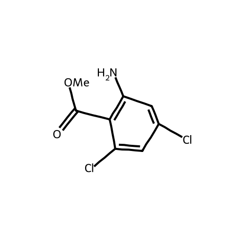 COC(=O)c1c(N)cc(Cl)cc1Cl